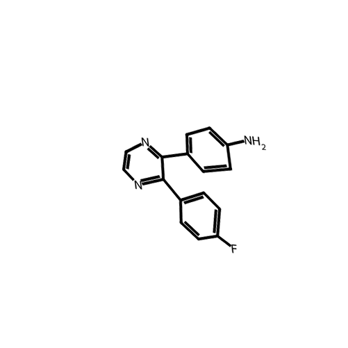 Nc1ccc(-c2nccnc2-c2ccc(F)cc2)cc1